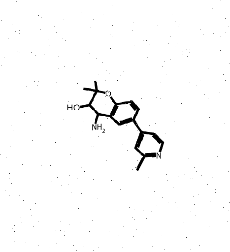 Cc1cc(-c2ccc3c(c2)C(N)C(O)C(C)(C)O3)ccn1